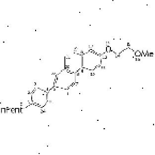 CCCCCc1ccc(-c2ccc(-c3ccc(OCCOC)cc3C)c(C)c2)cc1